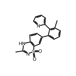 CC1=NS(=O)(=O)c2cc(-c3cccc(C)c3-c3ccccn3)ccc2N1